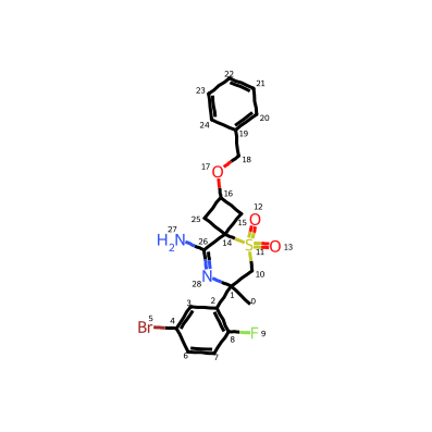 CC1(c2cc(Br)ccc2F)CS(=O)(=O)C2(CC(OCc3ccccc3)C2)C(N)=N1